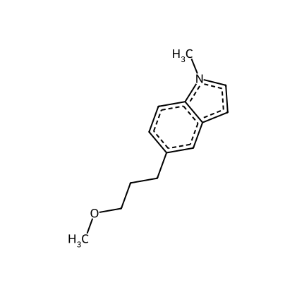 COCCCc1ccc2c(ccn2C)c1